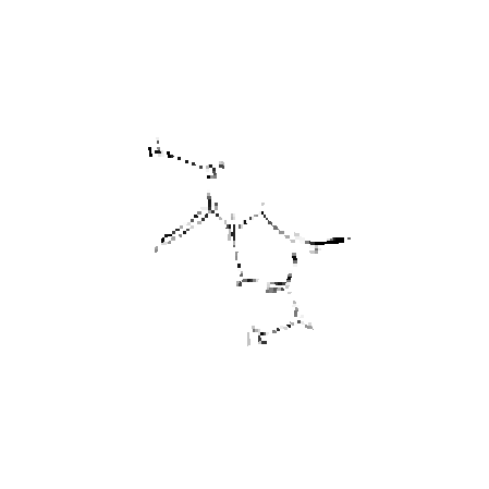 C[C@@H]1CN(C(=O)OC(C)(C)C)C[C@H]1CO